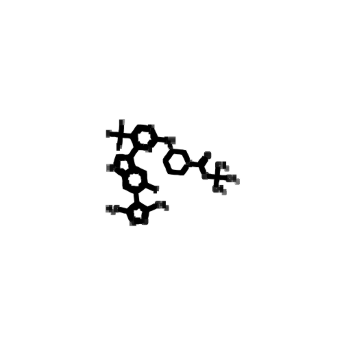 Cc1noc(C)c1-c1cc2[nH]cc(-c3nc(N[C@H]4CCCN(C(=O)OC(C)(C)C)C4)ncc3C(F)(F)F)c2cc1F